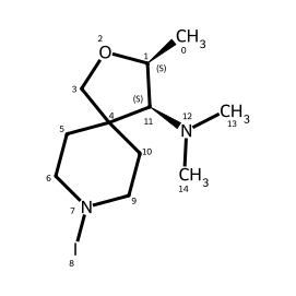 C[C@@H]1OCC2(CCN(I)CC2)[C@@H]1N(C)C